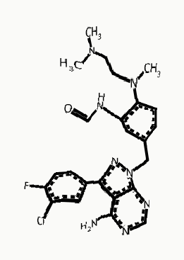 CN(C)CCN(C)c1ccc(Cn2nc(-c3ccc(F)c(Cl)c3)c3c(N)ncnc32)cc1NC=O